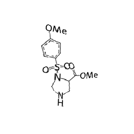 COC(=O)C1CNCCN1S(=O)(=O)c1ccc(OC)cc1